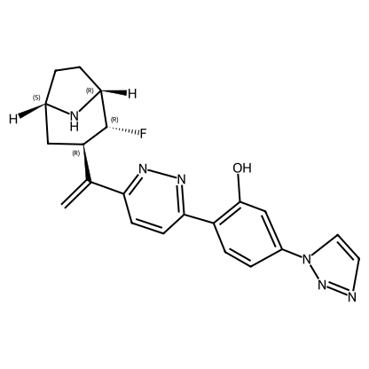 C=C(c1ccc(-c2ccc(-n3ccnn3)cc2O)nn1)[C@H]1C[C@@H]2CC[C@@H](N2)[C@@H]1F